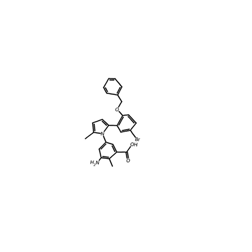 Cc1c(N)cc(-n2c(C)ccc2-c2cc(Br)ccc2OCc2ccccc2)cc1C(=O)O